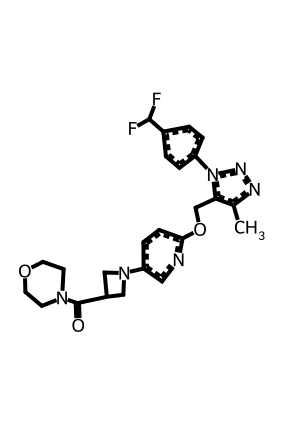 Cc1nnn(-c2ccc(C(F)F)cc2)c1COc1ccc(N2CC(C(=O)N3CCOCC3)C2)cn1